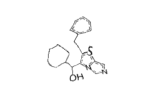 OC(c1c(Cc2ccccc2)sc2cncn12)C1CCCCC1